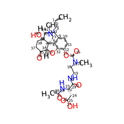 C=CC[N+]1(C)CC[C@]23c4c5ccc(OC(=O)N(C)CCNC(=O)[C@H](CC(=O)O)NC(C)=O)c4O[C@H]2C(=O)CC[C@@]3(O)[C@H]1C5